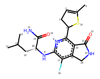 CC1=CCC(c2nc(N[C@H](CC(C)C)C(N)=O)c(F)c3c2C(=O)NC3)S1